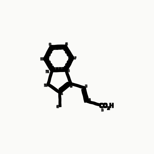 CC1=C(C=CC(=O)O)c2ccccc2C1